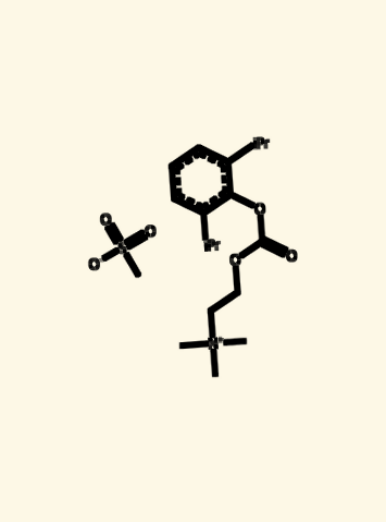 CC(C)c1cccc(C(C)C)c1OC(=O)OCC[N+](C)(C)C.CS(=O)(=O)[O-]